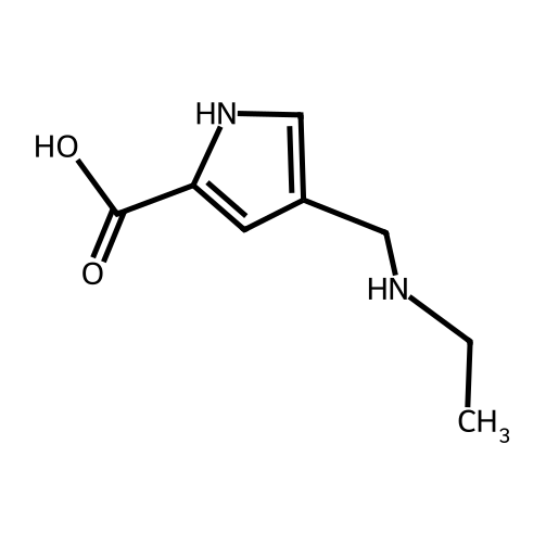 CCNCc1c[nH]c(C(=O)O)c1